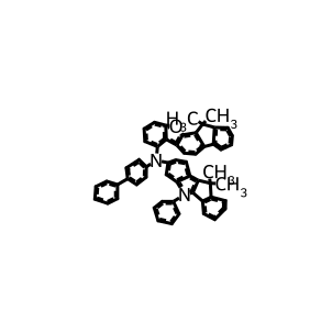 CC1(C)c2ccccc2-c2c1c1ccc(N(c3ccc(-c4ccccc4)cc3)c3cccc4oc5c6c(ccc5c34)-c3ccccc3C6(C)C)cc1n2-c1ccccc1